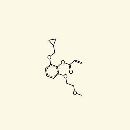 C=CC(=O)Oc1c(OCCOC)cccc1OCC1CC1